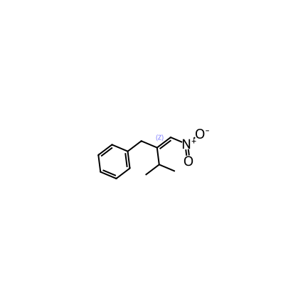 CC(C)/C(=C\[N+](=O)[O-])Cc1ccccc1